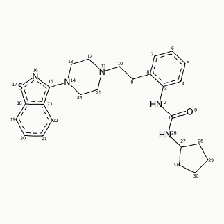 O=C(Nc1ccccc1CCN1CCN(c2nsc3ccccc23)CC1)NC1CCCC1